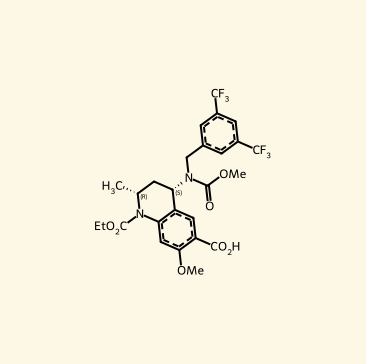 CCOC(=O)N1c2cc(OC)c(C(=O)O)cc2[C@@H](N(Cc2cc(C(F)(F)F)cc(C(F)(F)F)c2)C(=O)OC)C[C@H]1C